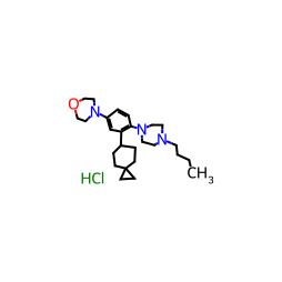 CCCCN1CCN(c2ccc(N3CCOCC3)cc2C2CCC3(CC2)CC3)CC1.Cl